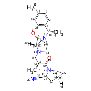 Cc1ccc([C@@H](C)N2C(=O)[C@@H]3CC2CN3C[C@H](C)C(=O)N2C3C[C@H]3C[C@H]2C#N)cc1